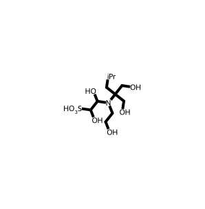 CC(C)CC(CO)(CO)N(CCO)C(O)C(O)S(=O)(=O)O